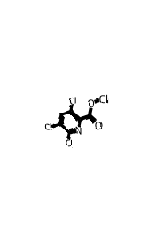 O=C(OCl)c1nc(Cl)c(Cl)cc1Cl